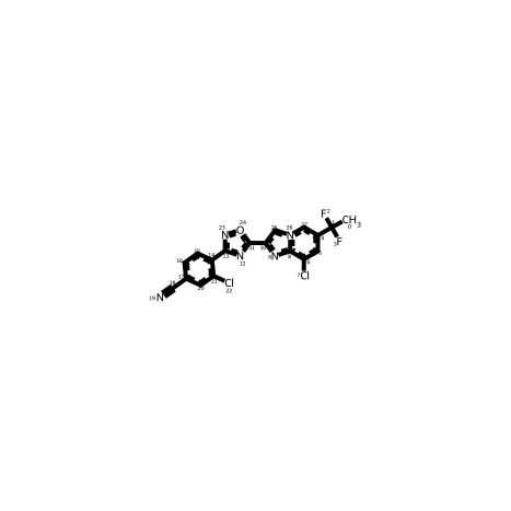 CC(F)(F)c1cc(Cl)c2nc(-c3nc(-c4ccc(C#N)cc4Cl)no3)cn2c1